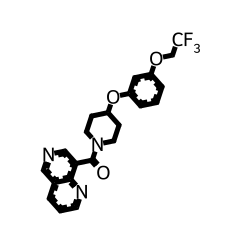 O=C(c1cncc2cccnc12)N1CCC(Oc2cccc(OCC(F)(F)F)c2)CC1